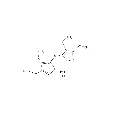 CCC1=CC[C]([Ti][C]2=C(CC)C(CC)=CC2)=C1CC.Cl.Cl